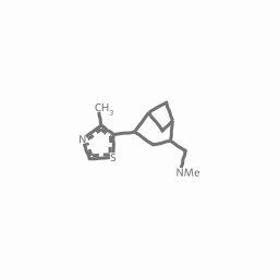 CNCC1CC(c2scnc2C)C2CC1C2